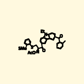 CCn1c2ccc(C(=O)/C(CSc3ccccc3SC)=N/OC(C)=O)cc2c2cc(C(=O)c3ccccc3C)ccc21